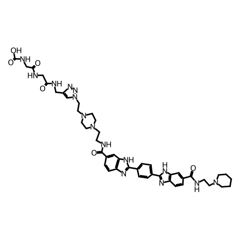 O=C(O)NCC(=O)NCC(=O)NCc1cn(CCN2CCN(CCNC(=O)c3ccc4nc(-c5ccc(-c6nc7ccc(C(=O)NCCN8CCCCC8)cc7[nH]6)cc5)[nH]c4c3)CC2)nn1